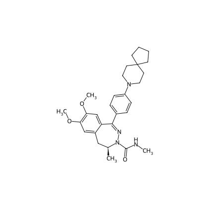 CNC(=O)N1N=C(c2ccc(N3CCC4(CCCC4)CC3)cc2)c2cc(OC)c(OC)cc2C[C@@H]1C